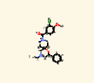 CC(C)Oc1ccc(C(=O)N2CCC3(CC2)CN(CC(F)(F)F)CC(c2ccccc2)O3)cc1Cl